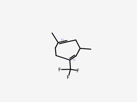 C/C1=C\CC(C)/C=C(/C(F)(F)F)CC1